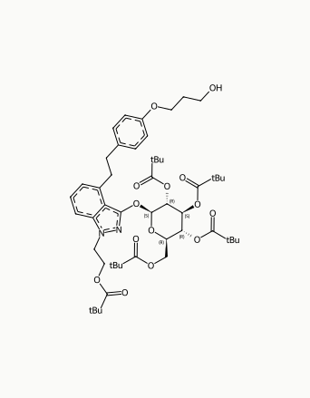 CC(C)(C)C(=O)OCCn1nc(O[C@@H]2O[C@H](COC(=O)C(C)(C)C)[C@@H](OC(=O)C(C)(C)C)[C@H](OC(=O)C(C)(C)C)[C@H]2OC(=O)C(C)(C)C)c2c(CCc3ccc(OCCCO)cc3)cccc21